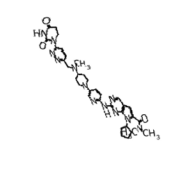 CN(C)C(=O)c1cc2cnc(Nc3ccc(N4CCC(N(C)Cc5ccc(N6CCC(=O)NC6=O)nn5)CC4)cn3)nc2n1C1CCCC1